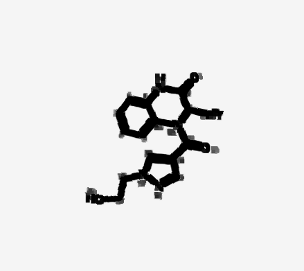 CCCC1C(=O)Nc2ccccc2N1C(=O)c1cnn(CCO)c1